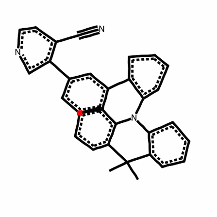 CC1(C)c2ccccc2N(c2ccccc2-c2cccc(-c3cnccc3C#N)c2)c2ccccc21